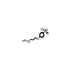 CCCOCCCOc1ccc(S(=O)(=O)Cl)cc1